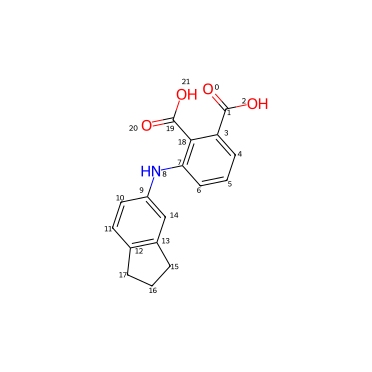 O=C(O)c1cccc(Nc2ccc3c(c2)CCC3)c1C(=O)O